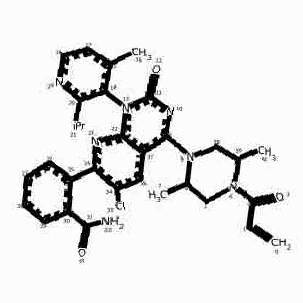 C=CC(=O)N1CC(C)N(c2nc(=O)n(-c3c(C)ccnc3C(C)C)c3nc(-c4ccccc4C(N)=O)c(Cl)cc23)CC1C